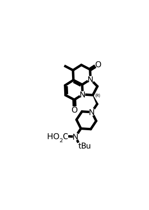 CC1CC(=O)N2C[C@@H](CN3CCC(N(C(=O)O)C(C)(C)C)CC3)n3c2c1ccc3=O